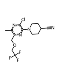 Cc1nc(Cl)c(N2CCC(C#N)CC2)nc1COCC(F)(F)F